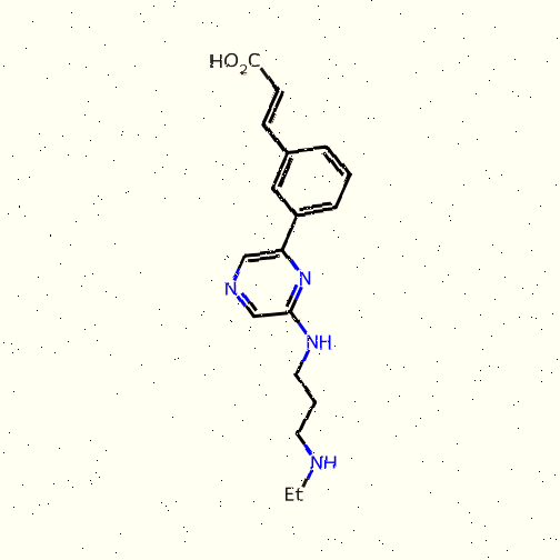 CCNCCCNc1cncc(-c2cccc(C=CC(=O)O)c2)n1